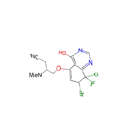 CNC(CC#N)COC1=CC(Br)C(F)(Cl)c2ncnc(O)c21